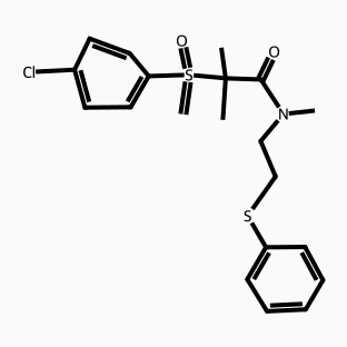 C=S(=O)(c1ccc(Cl)cc1)C(C)(C)C(=O)N(C)CCSc1ccccc1